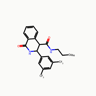 COCCNC(=O)C1c2ccccc2C(=O)NC1c1cc(C(F)(F)F)cc(C(F)(F)F)c1